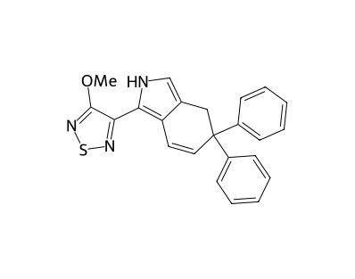 COc1nsnc1-c1[nH]cc2c1C=CC(c1ccccc1)(c1ccccc1)C2